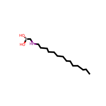 CCCCCCCCCCCCCCPCB(O)O